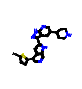 CC(=O)c1ccc(-c2cncc3[nH]c(-c4n[nH]c5ncc(C6=CCNCC6)cc45)cc23)s1